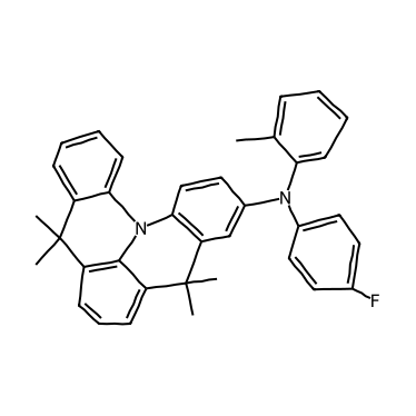 Cc1ccccc1N(c1ccc(F)cc1)c1ccc2c(c1)C(C)(C)c1cccc3c1N2c1ccccc1C3(C)C